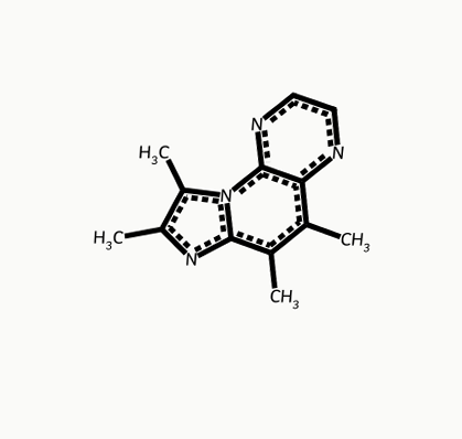 Cc1nc2c(C)c(C)c3nccnc3n2c1C